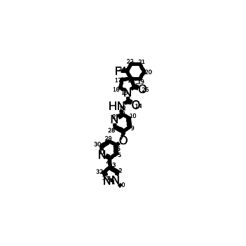 Cn1cc(-c2cc(Oc3ccc(NC(=O)N4CCC5(CCCCC5F)C4=O)nc3)ccn2)cn1